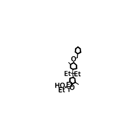 CCC(CC)(c1ccc(OCc2ccccc2)c(C)c1)c1ccc(OC(C)C(O)(CC)CC)c(C)c1